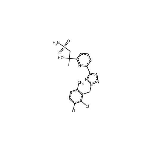 CC(O)(CS(N)(=O)=O)c1cccc(-c2nnn(Cc3c(C(F)(F)F)ccc(Cl)c3Cl)n2)n1